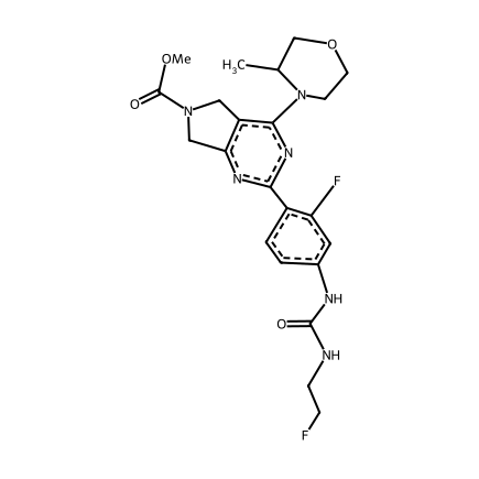 COC(=O)N1Cc2nc(-c3ccc(NC(=O)NCCF)cc3F)nc(N3CCOCC3C)c2C1